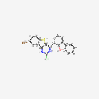 Clc1nc(-c2cccc3c2oc2ccccc23)c2sc3ccc(Br)cc3c2n1